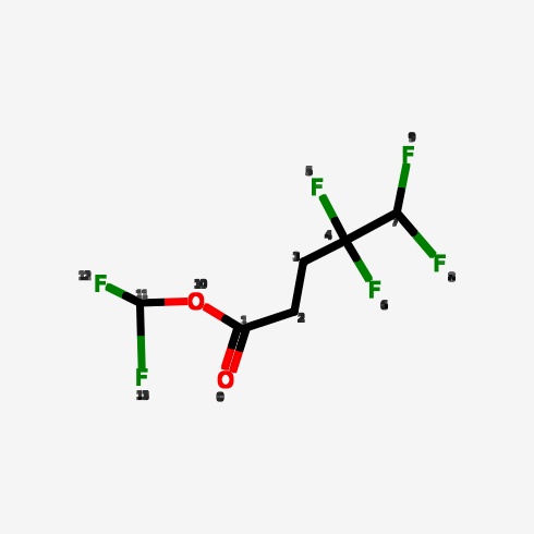 O=C(CCC(F)(F)C(F)F)OC(F)F